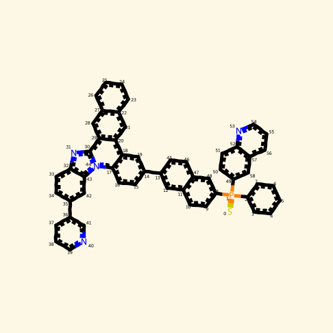 S=P(c1ccccc1)(c1ccc2cc(-c3ccc4c(c3)c3cc5ccccc5cc3c3nc5ccc(-c6cccnc6)cc5n43)ccc2c1)c1ccc2ncccc2c1